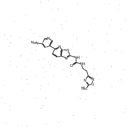 CNc1cncc(-c2ccc3nc(NC(=O)NCCc4noc(C(C)(C)C)n4)sc3n2)c1